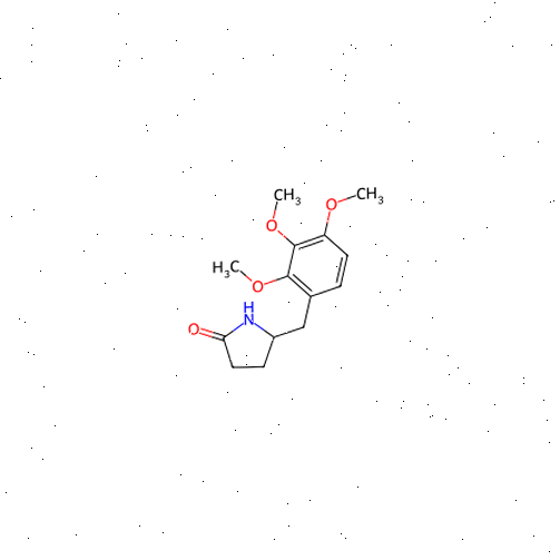 COc1ccc(CC2CCC(=O)N2)c(OC)c1OC